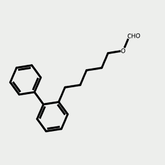 O=COCCCCCc1ccccc1-c1ccccc1